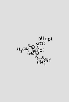 CCCCCCCC(=O)SC(CC)[Si]1(OCC(C)CO)OCC(C)CO1